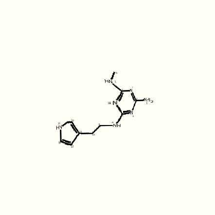 CNc1nc(N)nc(NCCc2cc[nH]c2)n1